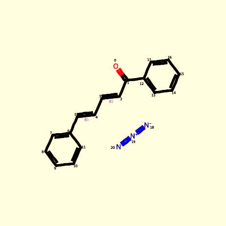 O=C(/C=C/C=C/c1ccccc1)c1ccccc1.[N-]=[N+]=[N-]